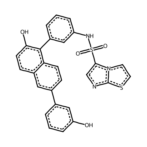 O=S(=O)(Nc1cccc(-c2c(O)ccc3cc(-c4cccc(O)c4)ccc23)c1)c1cnc2sccn12